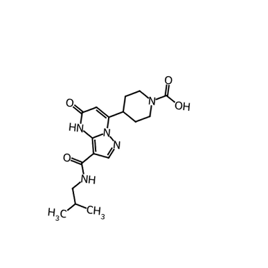 CC(C)CNC(=O)c1cnn2c(C3CCN(C(=O)O)CC3)cc(=O)[nH]c12